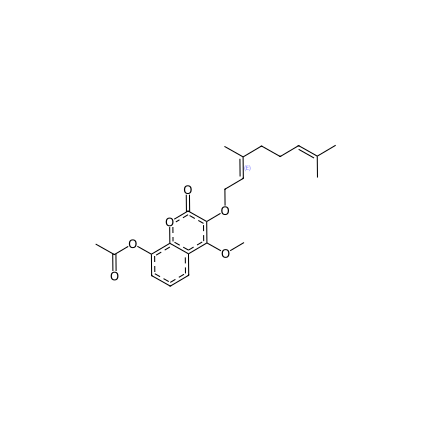 COc1c(OC/C=C(\C)CCC=C(C)C)c(=O)oc2c(OC(C)=O)cccc12